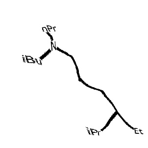 CCCN(CCCC(CC)C(C)C)C(C)CC